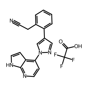 N#CCc1ccccc1-c1cnn(-c2ccnc3[nH]ccc23)c1.O=C(O)C(F)(F)F